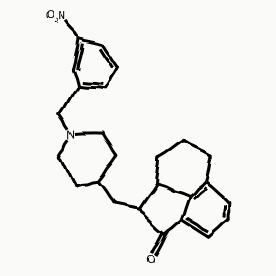 O=C1c2cccc3c2C(CCC3)C1CC1CCN(Cc2cccc([N+](=O)[O-])c2)CC1